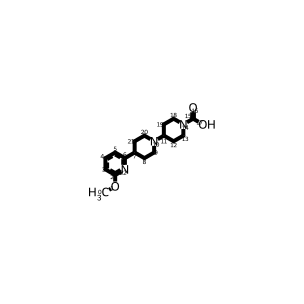 COc1cccc(C2CCN(C3CCN(C(=O)O)CC3)CC2)n1